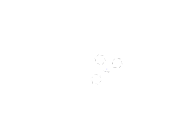 CCCCOc1ccc(/C(=C(\CC)c2cccc(OCCCI)c2)c2ccccc2)cc1